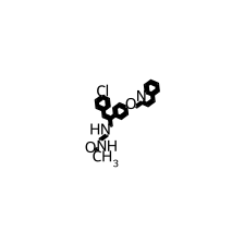 CC(=O)NCCNC/C(=C/c1ccc(Cl)cc1)c1ccc(OCc2ccc3ccccc3n2)cc1